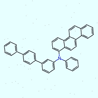 c1ccc(-c2ccc(-c3cccc(N(c4ccccc4)c4cccc5c4ccc4c6ccccc6ccc54)c3)cc2)cc1